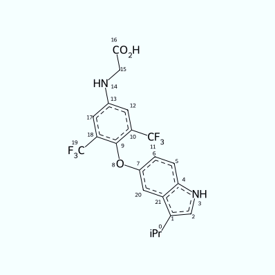 CC(C)c1c[nH]c2ccc(Oc3c(C(F)(F)F)cc(NCC(=O)O)cc3C(F)(F)F)cc12